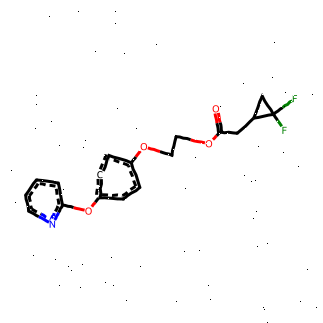 O=C(CC1CC1(F)F)OCCOc1ccc(Oc2ccccn2)cc1